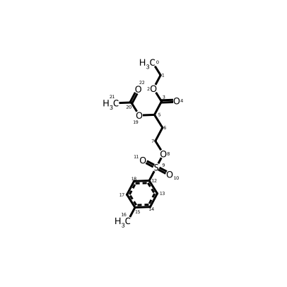 CCOC(=O)C(CCOS(=O)(=O)c1ccc(C)cc1)OC(C)=O